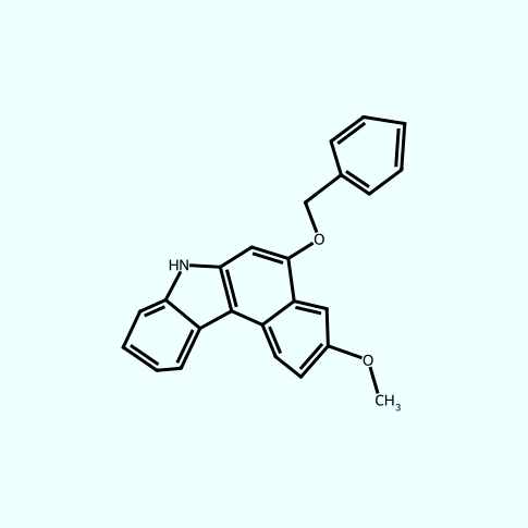 COc1ccc2c(c1)c(OCc1ccccc1)cc1[nH]c3ccccc3c12